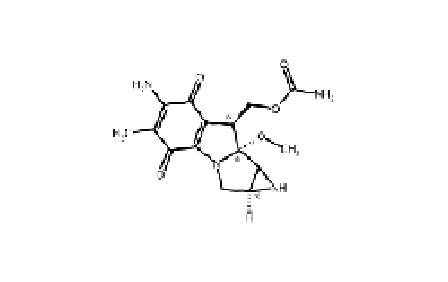 CO[C@]12C3N[C@H]3CN1C1=C(C(=O)C(N)=C(C)C1=O)[C@H]2COC(N)=O